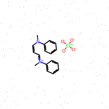 CN(/C=C\C=[N+](/C)c1ccccc1)c1ccccc1.[O-][Cl+3]([O-])([O-])[O-]